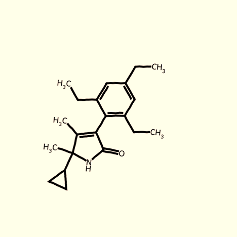 CCc1cc(CC)c(C2=C(C)C(C)(C3CC3)NC2=O)c(CC)c1